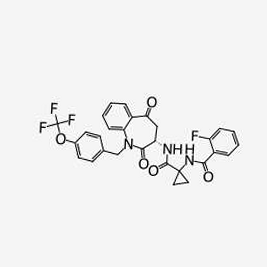 O=C(NC1(C(=O)N[C@H]2CC(=O)c3ccccc3N(Cc3ccc(OC(F)(F)F)cc3)C2=O)CC1)c1ccccc1F